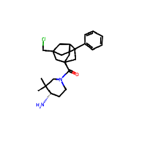 CC1(C)CN(C(=O)C23CC4CC(CCl)(C2)CC4(c2ccccc2)C3)CC[C@@H]1N